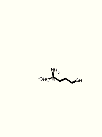 N[C@H]([C]=O)CCCS